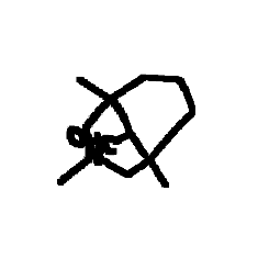 CN1CC2(C)CCCC(C)(C1)C2C=O